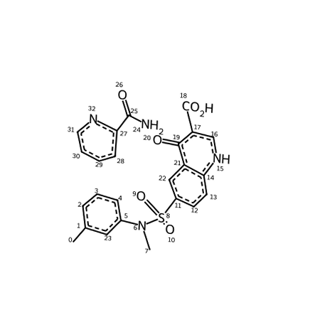 Cc1cccc(N(C)S(=O)(=O)c2ccc3[nH]cc(C(=O)O)c(=O)c3c2)c1.NC(=O)c1ccccn1